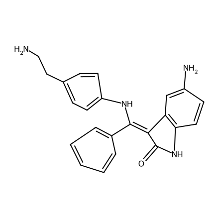 NCCc1ccc(NC(=C2C(=O)Nc3ccc(N)cc32)c2ccccc2)cc1